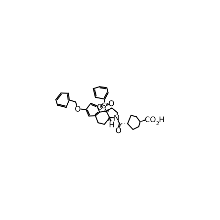 O=C(O)[C@H]1CC[C@H](C(=O)N2CC[C@@]3(S(=O)(=O)c4ccccc4)c4ccc(OCc5ccccc5)cc4CC[C@@H]23)CC1